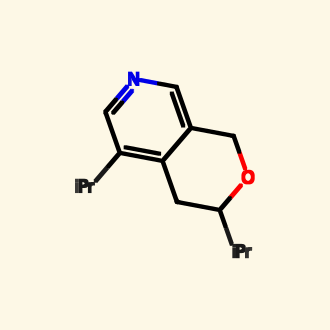 CC(C)c1cncc2c1CC(C(C)C)OC2